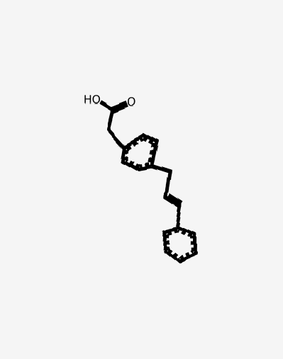 O=C(O)Cc1ccc(C/C=C/c2ccccc2)cc1